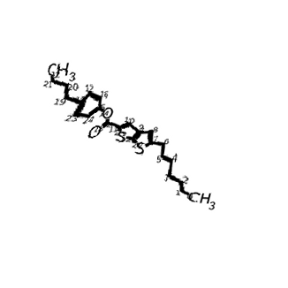 CCCCCCCc1cc2cc(C(=O)Oc3ccc(CCCC)cc3)sc2s1